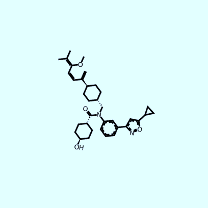 C=C(/C=C\C(OC)=C(C)C)[C@H]1CC[C@H](CN(c2cccc(-c3cc(C4CC4)on3)c2)C(=O)[C@H]2CC[C@H](O)CC2)CC1